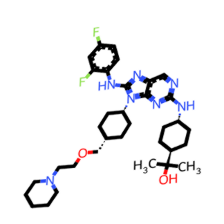 CC(C)(O)[C@H]1CC[C@H](Nc2ncc3nc(Nc4ccc(F)cc4F)n([C@H]4CC[C@@H](COCCN5CCCCC5)CC4)c3n2)CC1